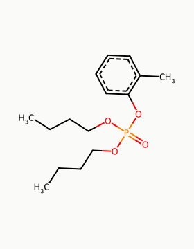 CCCCOP(=O)(OCCCC)Oc1ccccc1C